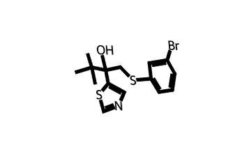 CC(C)(C)C(O)(CSc1cccc(Br)c1)c1cncs1